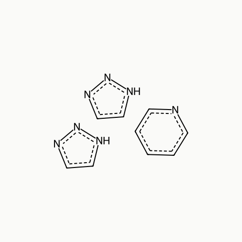 c1c[nH]nn1.c1c[nH]nn1.c1ccncc1